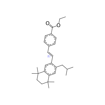 CCOC(=O)c1ccc(/C=C/c2cc3c(cc2CC(C)C)C(C)(C)CCC3(C)C)cc1